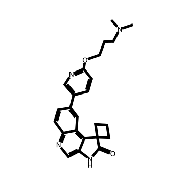 CN(C)CCCOc1ccc(-c2ccc3ncc4c(c3c2)C2(CCC2)C(=O)N4)cn1